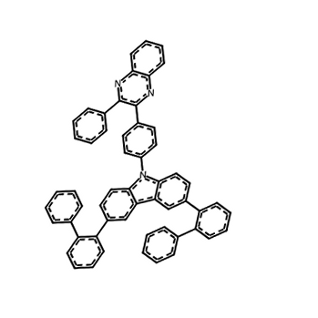 c1ccc(-c2ccccc2-c2ccc3c(c2)c2cc(-c4ccccc4-c4ccccc4)ccc2n3-c2ccc(-c3nc4ccccc4nc3-c3ccccc3)cc2)cc1